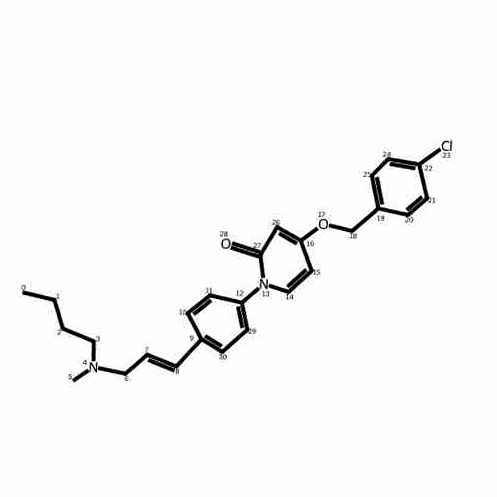 CCCCN(C)C/C=C/c1ccc(-n2ccc(OCc3ccc(Cl)cc3)cc2=O)cc1